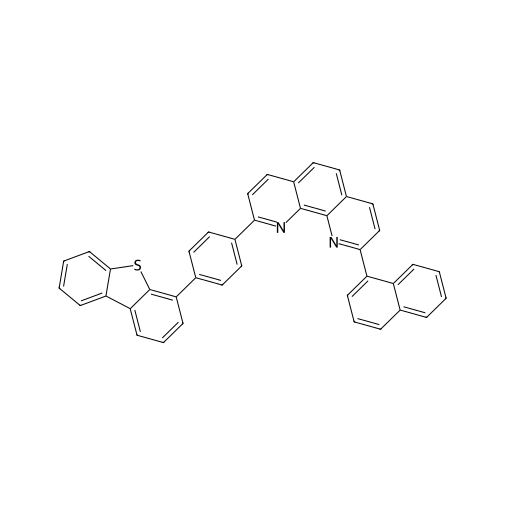 c1ccc2c(-c3ccc4ccc5ccc(-c6ccc(-c7cccc8c7sc7ccccc78)cc6)nc5c4n3)cccc2c1